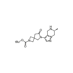 C[C@H]1Cn2ncc(N3CC4(CC3=O)CN(C(=O)OC(C)(C)C)C4)c2CN1